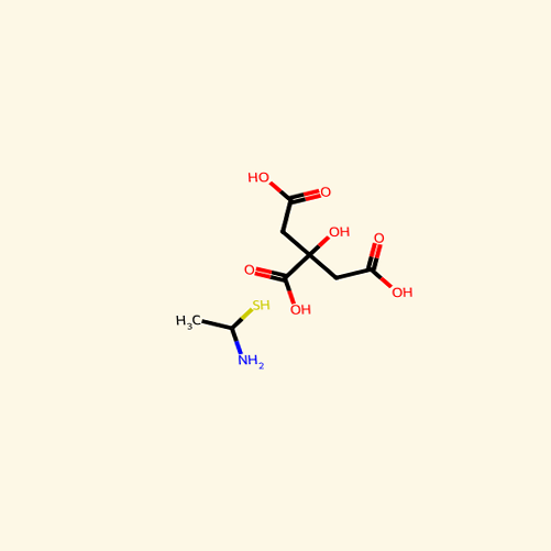 CC(N)S.O=C(O)CC(O)(CC(=O)O)C(=O)O